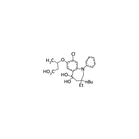 CCCCC1(CC)CN(c2ccccc2)c2cc(Cl)c(OC(C)CC(=O)O)cc2S(O)(O)C1